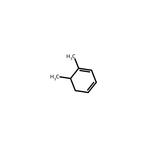 CC1=CC=CCC1C